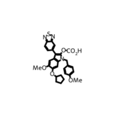 COc1ccc(Cn2c(OC(=O)O)c(-c3ccc4nsnc4c3)c3cc(OC)c(OC4CCCC4)cc32)cc1